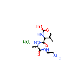 CC(NC(=O)C(NC(=O)O)C(C)C)C(=O)NCCN.Cl